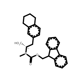 CN(C(=O)OCC1c2ccccc2-c2ccccc21)[C@@H](Cc1ccc2c(c1)CCCC2)C(=O)O